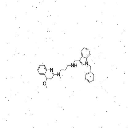 COc1cc(N(C)CCCNCc2cn(Cc3ccccc3)c3ccccc23)nc2ccccc12